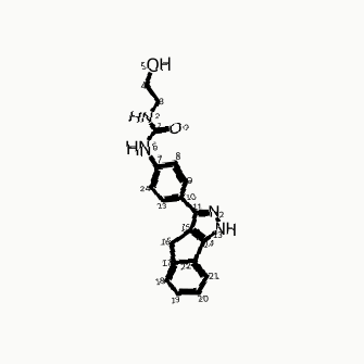 O=C(NCCO)Nc1ccc(-c2n[nH]c3c2Cc2ccccc2-3)cc1